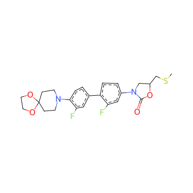 CSCC1CN(c2ccc(-c3ccc(N4CCC5(CC4)OCCO5)c(F)c3)c(F)c2)C(=O)O1